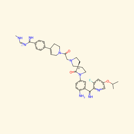 CN/C=N\C(=N)c1ccc(C2=CCN(C(=O)CN3CC[C@]4(CCN(c5ccc(N)c(C(=N)c6ncc(OC(C)C)cc6F)c5)C4=O)C3)CC2)cc1